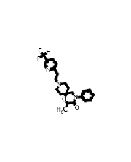 CC1OC2(CCN(CCc3ccc(C(F)(F)F)cn3)CC2)CN(c2ccccc2)C1=O